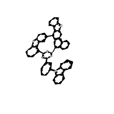 c1ccc(-c2cc(-c3ccc4oc5cccc(-c6nc(-c7ccccc7)nc(-c7cccc(-n8c9ccccc9c9ccccc98)c7)n6)c5c4c3)c3c(c2)oc2ccccc23)cc1